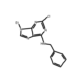 CCn1cnc2c(NCc3ccccc3)nc(Cl)nc21